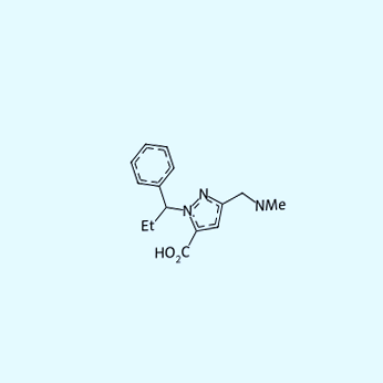 CCC(c1ccccc1)n1nc(CNC)cc1C(=O)O